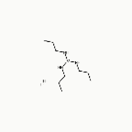 CCCN[S+](NCCC)NCCC.F.[F-]